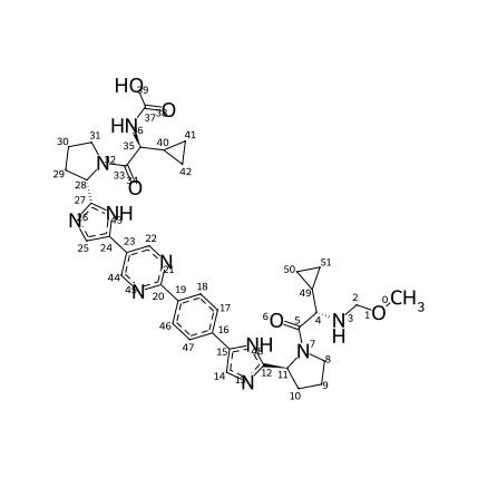 COCN[C@H](C(=O)N1CCC[C@H]1c1ncc(-c2ccc(-c3ncc(-c4cnc([C@@H]5CCCN5C(=O)[C@@H](NC(=O)O)C5CC5)[nH]4)cn3)cc2)[nH]1)C1CC1